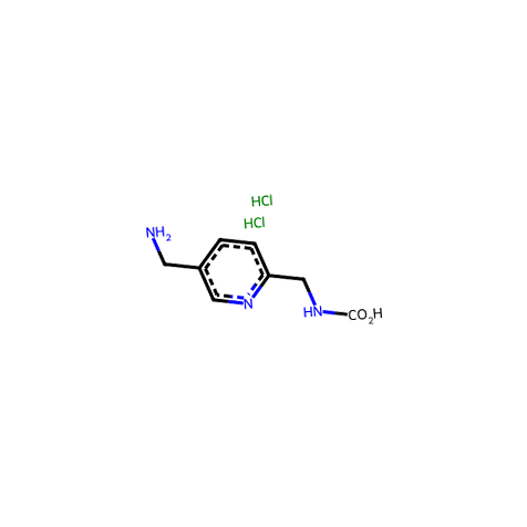 Cl.Cl.NCc1ccc(CNC(=O)O)nc1